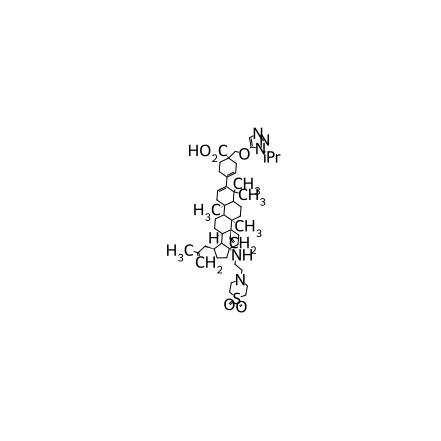 C=C[C@@]12CC[C@@]3(NCCN4CCS(=O)(=O)CC4)CC[C@@H](CC(=C)C)C3[C@H]1CCC1[C@@]3(C)CC=C(C4=CCC(COc5cnnn5C(C)C)(C(=O)O)CC4)C(C)(C)C3CC[C@]12C